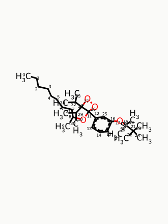 CCCCCCCCC(C)OC1(c2cccc(O[Si](C)(C)C(C)(C)C)c2)OOC1(C(C)C)C(C)C